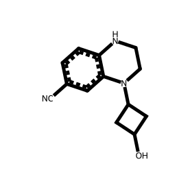 N#Cc1ccc2c(c1)N(C1CC(O)C1)CCN2